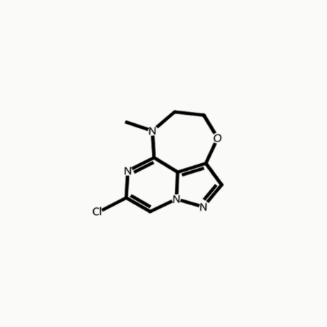 CN1CCOc2cnn3cc(Cl)nc1c23